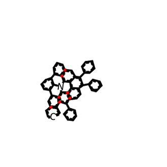 c1ccc(-c2ccc(N(c3c(-c4ccccc4)cccc3-c3ccccc3)c3cccc4c(-c5ccccc5)c(-c5ccccc5)c5ccccc5c34)cc2-c2ccccc2)cc1